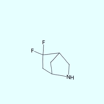 FC1(F)CC2CC1CN2